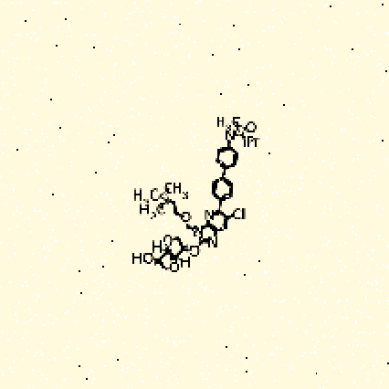 CC(C)S(C)(=O)=Nc1ccc(-c2ccc(-c3nc4c(cc3Cl)nc(O[C@@H]3CO[C@H]5[C@@H]3OC[C@H]5O)n4COCC[Si](C)(C)C)cc2)cc1